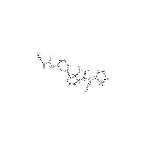 N#CNC(=O)Nc1cccc(-c2ccnc3c(C(=O)c4cccs4)cnn23)c1